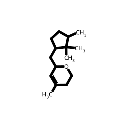 CC1=CC(CC2CCC(C)C2(C)C)OCC1